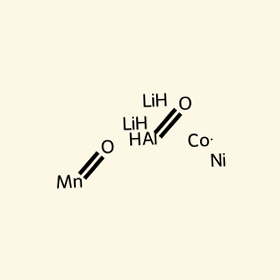 [Co].[LiH].[LiH].[Ni].[O]=[AlH].[O]=[Mn]